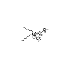 CCCCCCCCC(CCCCCC)CN1c2cc(-c3ccc(C)s3)sc2-c2sc(C)cc2S1(=O)=O